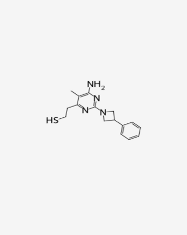 Cc1c(N)nc(N2CC(c3ccccc3)C2)nc1CCS